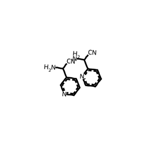 N#CC(N)c1ccccn1.N#CC(N)c1cccnc1